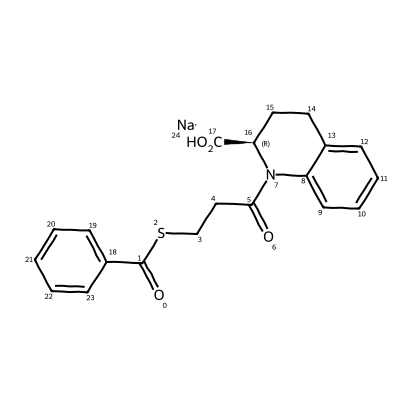 O=C(SCCC(=O)N1c2ccccc2CC[C@@H]1C(=O)O)c1ccccc1.[Na]